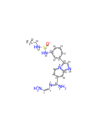 N/C=C\N=C(/N)c1ccn2c(-c3cccc(N[S+]([O-])NCC(F)(F)F)c3)cnc2c1